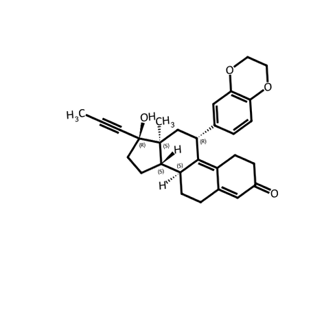 CC#C[C@@]1(O)CC[C@H]2[C@@H]3CCC4=CC(=O)CCC4=C3[C@@H](c3ccc4c(c3)OCCO4)C[C@@]21C